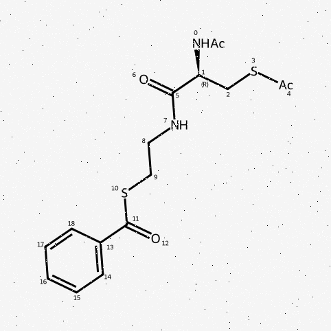 CC(=O)N[C@@H](CSC(C)=O)C(=O)NCCSC(=O)c1ccccc1